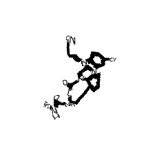 CC(C)NC(=O)N[C@H]1CCc2ccccc2N(Cc2nc3cc(Cl)ccc3n2CCCC#N)C(=O)C1